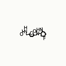 CNc1ccc(F)cc1N(C=O)Cc1ccc(CNC(C)=O)cc1